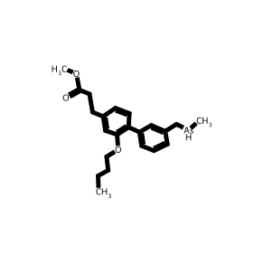 CCCCOc1cc(CCC(=O)OC)ccc1-c1cccc(C[AsH]C)c1